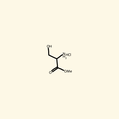 COC(=O)C(N)CO.Cl